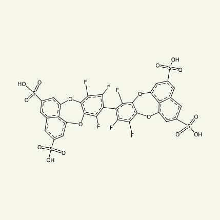 O=S(=O)(O)c1cc2c3c(cc(S(=O)(=O)O)cc3c1)Oc1c(F)c(-c3c(F)c(F)c4c(c3F)Oc3cc(S(=O)(=O)O)cc5cc(S(=O)(=O)O)cc(c35)O4)c(F)c(F)c1O2